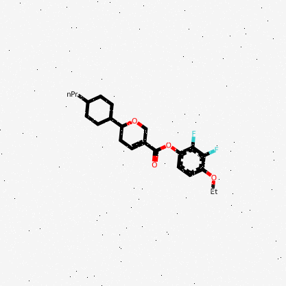 CCCC1CCC(C2CC=C(C(=O)Oc3ccc(OCC)c(F)c3F)CO2)CC1